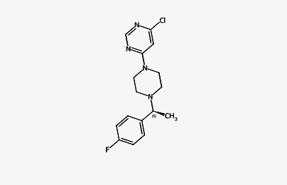 C[C@@H](c1ccc(F)cc1)N1CCN(c2cc(Cl)ncn2)CC1